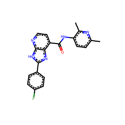 Cc1ccc(NC(=O)c2ccnc3[nH]c(-c4ccc(F)cc4)nc23)c(C)n1